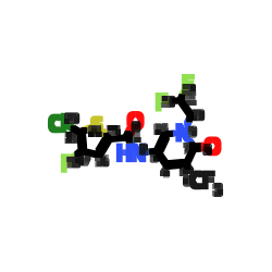 O=C(Nc1cc(C(F)(F)F)c(=O)n(CC(F)F)c1)c1cc(F)c(Cl)s1